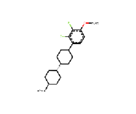 CCCCCCCCOc1ccc(C2CCC([C@H]3CC[C@H](CCCCC)CC3)CC2)c(F)c1F